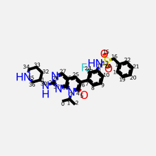 CC(C)n1c(=O)c(-c2cccc(NS(=O)(=O)Cc3ccccc3)c2F)cc2cnc(N[C@H]3CCCNC3)nc21